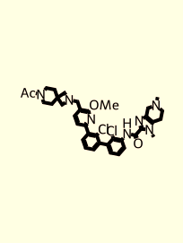 COc1nc(-c2cccc(-c3cccc(NC(=O)c4nc5c(n4C)CCN(C)C5)c3Cl)c2Cl)ccc1CN1CC2(CCN(C(C)=O)CC2)C1